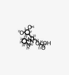 COc1cc(OC)cc(-c2cc(COC(C)(C)C(=O)O)nn2-c2ccccc2N(C)C)c1